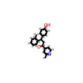 Cc1cc(C(=O)CC(c2ccc(O)cc2)c2ccccc2C)ccn1